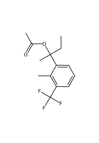 CCC(C)(OC(C)=O)c1cccc(C(F)(F)F)c1C